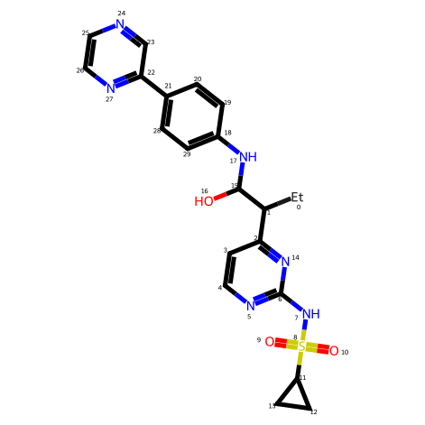 CCC(c1ccnc(NS(=O)(=O)C2CC2)n1)C(O)Nc1ccc(-c2cnccn2)cc1